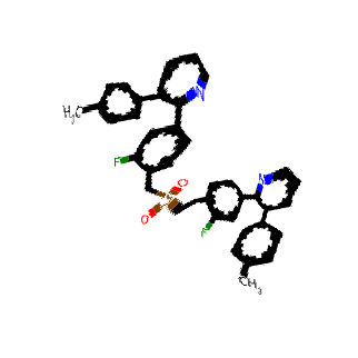 Cc1ccc(-c2cccnc2-c2ccc(CS(=O)(=O)Cc3ccc(-c4ncccc4-c4ccc(C)cc4)cc3F)c(F)c2)cc1